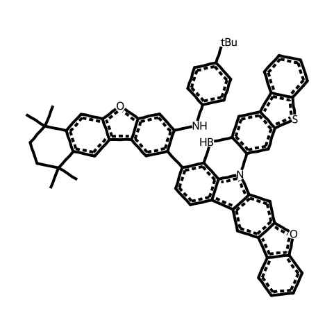 CC(C)(C)c1ccc(Nc2cc3oc4cc5c(cc4c3cc2-c2ccc3c4cc6c(cc4n4c3c2Bc2cc3c(cc2-4)sc2ccccc23)oc2ccccc26)C(C)(C)CCC5(C)C)cc1